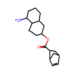 NC1CCCC2CC(OC(=O)C3CC4C=CC3C4)CCC12